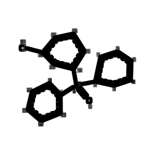 O=[S+](c1ccccc1)(c1ccccc1)c1cccc(Cl)c1